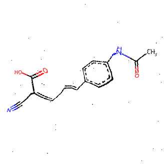 CC(=O)Nc1ccc(C=CC=C(C#N)C(=O)O)cc1